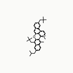 Cc1c2c(c(CC(C)(C)C)c3cc(CC(C)C)ccc13)Oc1cc3ccc(CC(C)(C)C)cc3c3cc[n+](C)c-2c13